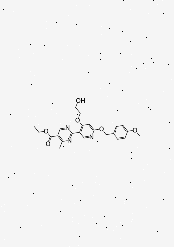 CCOC(=O)c1cnc(-c2cnc(OCc3ccc(OC)cc3)cc2OCCO)nc1C